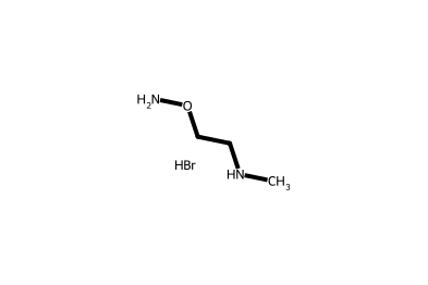 Br.CNCCON